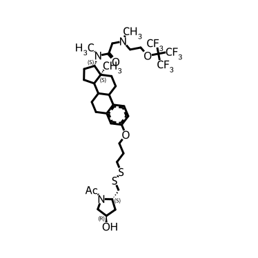 CC(=O)N1C[C@H](O)C[C@H]1CSSCCCOc1ccc2c(c1)CCC1C2CC[C@@]2(C)C1CC[C@@H]2N(C)C(=O)CN(C)CCOC(C(F)(F)F)(C(F)(F)F)C(F)(F)F